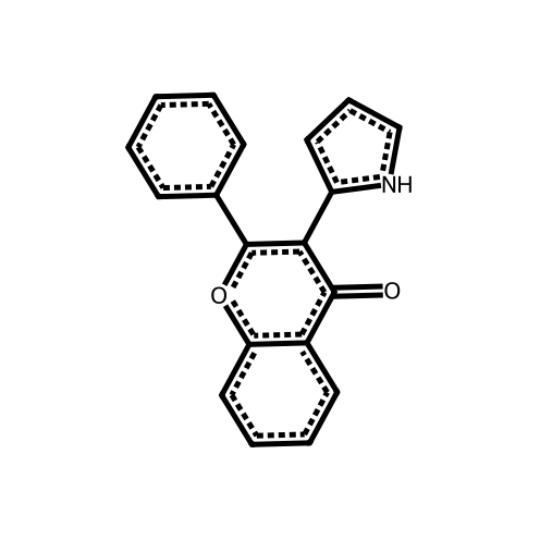 O=c1c(-c2ccc[nH]2)c(-c2ccccc2)oc2ccccc12